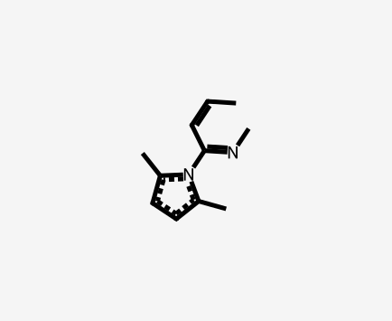 C/C=C\C(=N/C)n1c(C)ccc1C